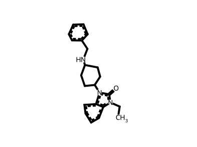 CCn1c(=O)n(C2CCC(NCc3ccccc3)CC2)c2ccccc21